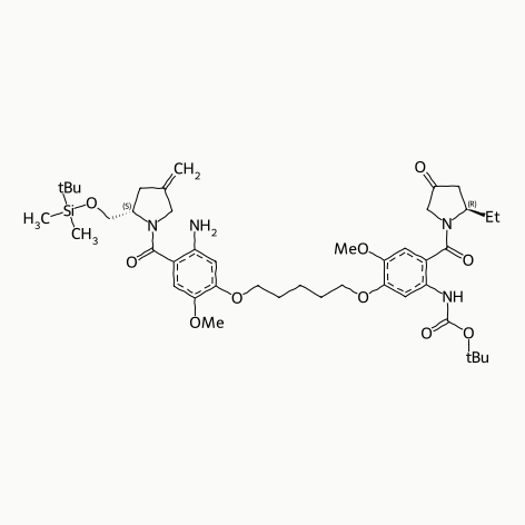 C=C1C[C@@H](CO[Si](C)(C)C(C)(C)C)N(C(=O)c2cc(OC)c(OCCCCCOc3cc(NC(=O)OC(C)(C)C)c(C(=O)N4CC(=O)C[C@H]4CC)cc3OC)cc2N)C1